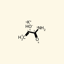 C=CC(N)=O.[K+].[OH-]